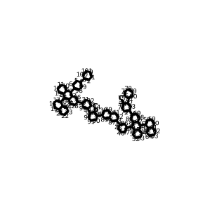 c1ccc(-c2ccc(-c3c4ccccc4c(-c4cccc5ccccc45)c4ccc(-c5ccc6sc7c(-c8ccc9ccc(-c%10cccc(-c%11c%12ccccc%12c(-c%12cccc%13ccccc%12%13)c%12ccc(-c%13ccc%14sc%15ccccc%15c%14c%13)cc%11%12)c%10)cc9c8)cccc7c6c5)cc34)cc2)cc1